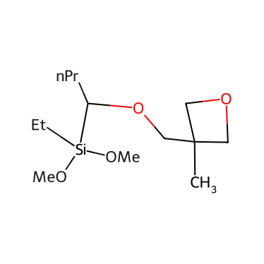 CCCC(OCC1(C)COC1)[Si](CC)(OC)OC